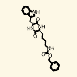 O=C(NCCCC[C@@H]1NC(=O)[C@H](Cc2c[nH]c3ccccc23)NC1=O)OCc1ccccc1